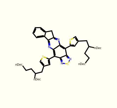 CCCCCCCCCCCCC(CCCCCCCCCC)Cc1csc(-c2c3nsnc3c(-c3cc(CC(CCCCCCCCCC)CCCCCCCCCCCC)cs3)c3nc4c(nc23)Cc2ccccc2-4)c1